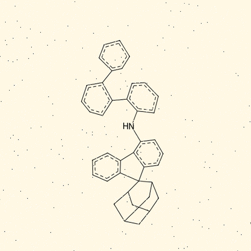 c1ccc(-c2ccccc2-c2ccccc2Nc2cccc3c2-c2ccccc2C32C3CC4CC(C3)CC2C4)cc1